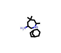 C1CC2CCC(C1)C2.CC1CC(C)(C)CC(N)CN1